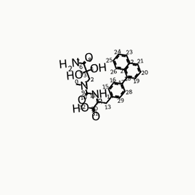 CN(CC(O)(O)C(N)=O)C(=O)N[C@@H](Cc1ccc(-c2cccc3ccccc23)cc1)C(=O)O